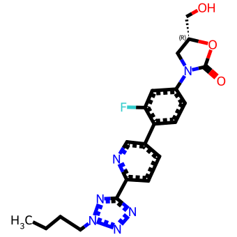 CCCCn1nnc(-c2ccc(-c3ccc(N4C[C@H](CO)OC4=O)cc3F)cn2)n1